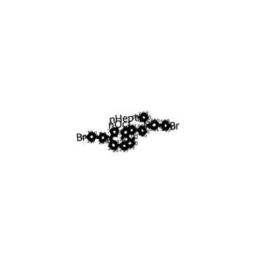 CCCCCCCCc1cccc(N(c2ccc(-c3ccc(Br)cc3)cc2)c2cccc(-c3ccc4ccc(C)c(-c5c(C)ccc6ccc(-c7cccc(N(c8ccc(-c9ccc(Br)cc9)cc8)c8cccc(CCCCCCC)c8)c7)cc56)c4c3)c2)c1